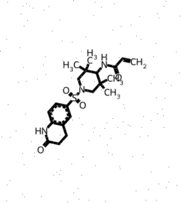 C=CC(=O)NC1C(C)(C)CN(S(=O)(=O)c2ccc3c(c2)CCC(=O)N3)CC1(C)C